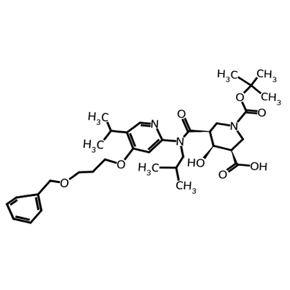 CC(C)CN(C(=O)[C@H]1CN(C(=O)OC(C)(C)C)C[C@@H](C(=O)O)[C@H]1O)c1cc(OCCCOCc2ccccc2)c(C(C)C)cn1